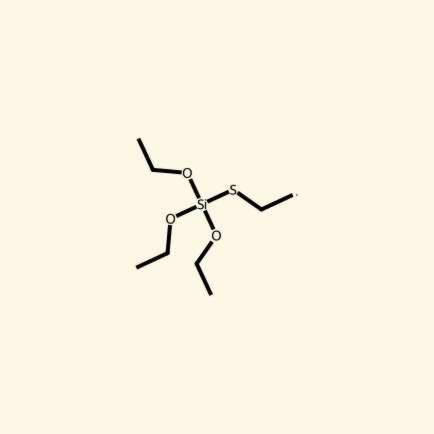 [CH2]CS[Si](OCC)(OCC)OCC